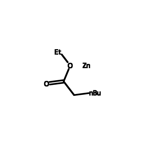 CCCCCC(=O)OCC.[Zn]